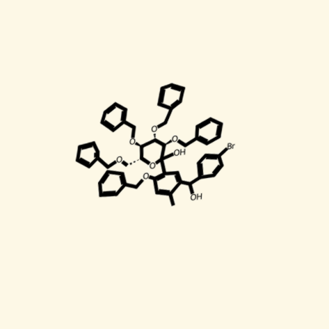 Cc1cc(OCc2ccccc2)c(C2(O)O[C@H](COCc3ccccc3)[C@@H](OCc3ccccc3)[C@H](OCc3ccccc3)[C@H]2OCc2ccccc2)cc1C(O)c1ccc(Br)cc1